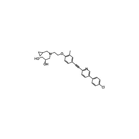 Cc1cc(C#Cc2ccc(-c3ccc(Cl)cc3)cn2)ccc1OCCN(CC1CC1)C[C@@H](O)CO